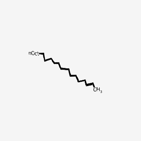 CC=CCCCCCCCCCCCCCCCCCCC